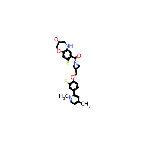 CC1=CCN(C)C(c2ccc(OCC3CN(C(=O)c4cc5c(cc4F)OCC(=O)CN5)C3)c(F)c2)=C1